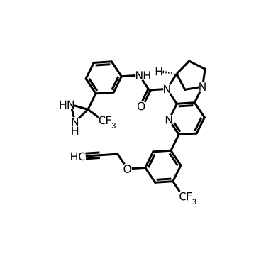 C#CCOc1cc(-c2ccc3c(n2)N(C(=O)Nc2cccc(C4(C(F)(F)F)NN4)c2)[C@H]2CCN3C2)cc(C(F)(F)F)c1